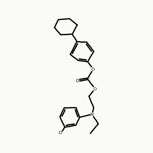 CCN(CCOC(=O)Oc1ccc(C2CCCCC2)cc1)c1cccc(Cl)c1